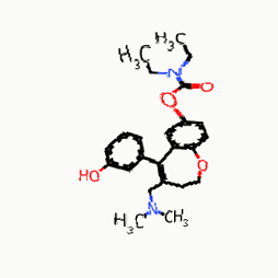 CCN(CC)C(=O)Oc1ccc2c(c1)C(c1cccc(O)c1)=C(CN(C)C)CCO2